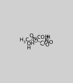 C[C@@H](O)[C@H]1C(=O)N2C(C(=O)O)=C(c3ccc4oc(=O)[nH]c4c3)C[C@H]12